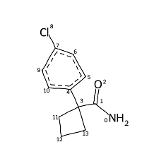 NC(=O)C1(c2ccc(Cl)cc2)CCC1